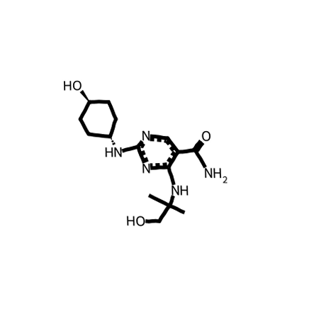 CC(C)(CO)Nc1nc(N[C@H]2CC[C@H](O)CC2)ncc1C(N)=O